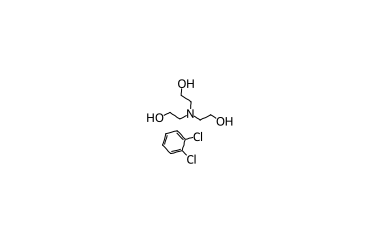 Clc1ccccc1Cl.OCCN(CCO)CCO